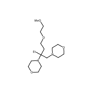 CCC([CH]N1CCOCC1)(CCOCCOC)N1CCOCC1